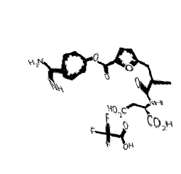 CC(Cc1ccc(C(=O)Oc2ccc(C(=N)N)cc2)o1)C(=O)N[C@H](CC(=O)O)C(=O)O.O=C(O)C(F)(F)F